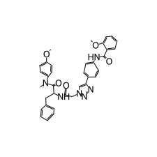 COc1ccc(N(C)C(=O)C(Cc2ccccc2)NC(=O)Cn2cc(-c3ccc(NC(=O)c4ccccc4OC)cc3)nn2)cc1